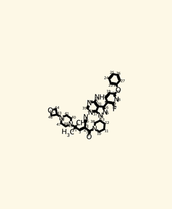 CC(C)(C=C(C#N)C(=O)N1CCC[C@@H](n2nc(-c3ccc(Oc4ccccc4)nc3F)c3c(N)ncnc32)C1)N1CCN(C2COC2)CC1